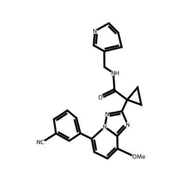 COc1ccc(-c2cccc(C#N)c2)n2nc(C3(C(=O)NCc4cccnc4)CC3)nc12